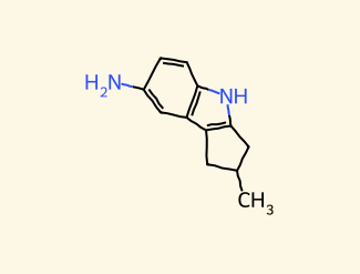 CC1Cc2[nH]c3ccc(N)cc3c2C1